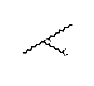 C=CCCCCCCCCC(=O)O/C(=C/CCCCCCCC)CCCCCCCC(=O)OC